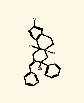 CCC12C/C(=C/c3ccccc3)C(O)(c3ccccn3)C[C@H]1CCc1cc(O)ccc12